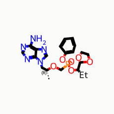 CCC(OP(=O)(CO[C@H](C)Cn1cnc2c(N)ncnc21)Oc1ccccc1)C1OCCO1